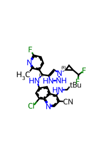 Cc1nc(F)ccc1[C@H](Nc1cc(Cl)c2ncc(C#N)c(NCC(C)(C)C)c2c1)C1=CN([C@@H]2CC2C(F)F)NN1